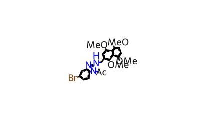 COc1ccc(OC)c2c(OC)c(CNc3nc4cc(Br)ccc4n3C(C)=O)cc(OC)c12